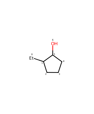 CCC1CCCC1O